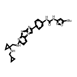 CC(C)(C)c1cc(NC(=O)Nc2ccc(-c3cn4c(n3)sc3nc(NCC5(NCC6CC6)CC5)ccc34)cc2)no1